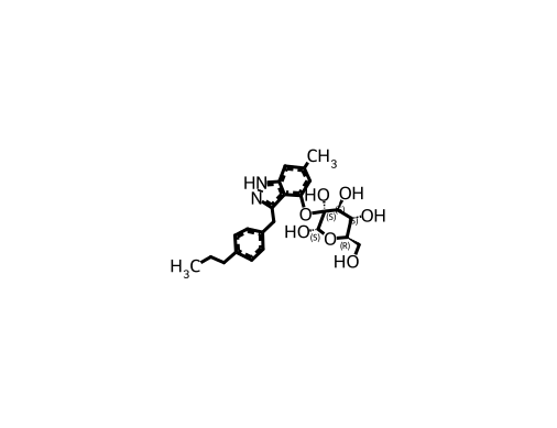 CCCc1ccc(Cc2n[nH]c3cc(C)cc(O[C@]4(O)[C@@H](O)O[C@H](CO)[C@@H](O)[C@@H]4O)c23)cc1